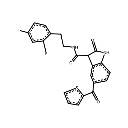 O=C(c1ccc2c(c1)C(C(=O)NCCc1ccc(F)cc1F)C(=O)N2)c1cccs1